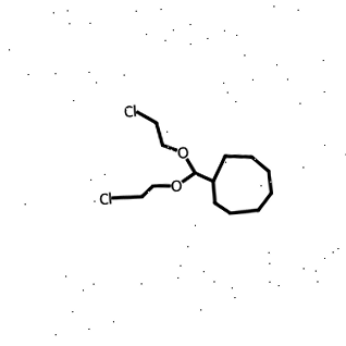 ClCCOC(OCCCl)C1CCCCCCC1